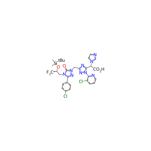 CC(C)(C)[Si](C)(C)O[C@@H](Cn1c(-c2ccc(Cl)cc2)nn(Cc2nc(C(C(=O)O)n3ccnc3)n(-c3ncccc3Cl)n2)c1=O)C(F)(F)F